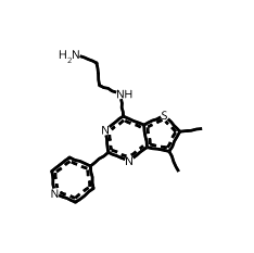 Cc1sc2c(NCCN)nc(-c3ccncc3)nc2c1C